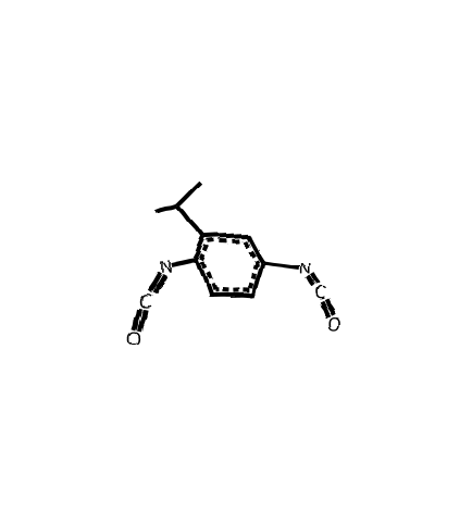 CC(C)c1cc(N=C=O)ccc1N=C=O